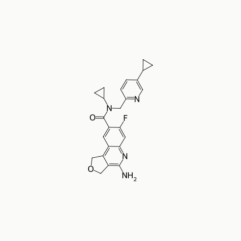 Nc1nc2cc(F)c(C(=O)N(Cc3ccc(C4CC4)cn3)C3CC3)cc2c2c1COC2